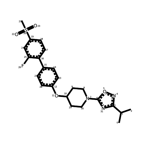 CC(C)c1noc(N2CCC(Oc3ccc(-c4ccc(S(C)(=O)=O)cc4F)cc3)CC2)n1